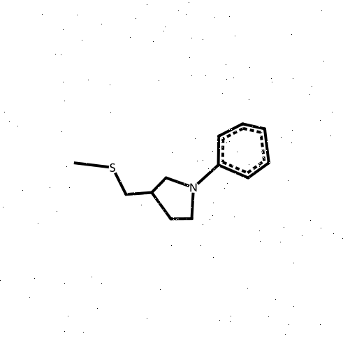 CSCC1CCN(c2ccccc2)C1